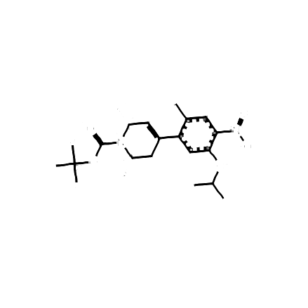 Cc1cc([N+](=O)[O-])c(OC(C)C)cc1C1=C[C@@H](C)N(C(=O)OC(C)(C)C)[C@@H](C)C1